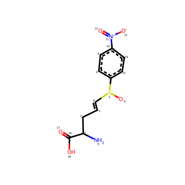 NC(CC=C[S+]([O-])c1ccc([N+](=O)[O-])cc1)C(=O)O